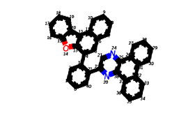 c1ccc(-c2cc3ccccc3c3c2oc2ccccc23)c(-c2cnc3c4ccccc4c4ccccc4c3n2)c1